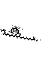 CCCCCCCOC(=O)CCCCCCCC(CCCCCCCC(=O)OCCCCCCC)OC(=O)CC(C)(C)CC(C)(C)CN(C)C